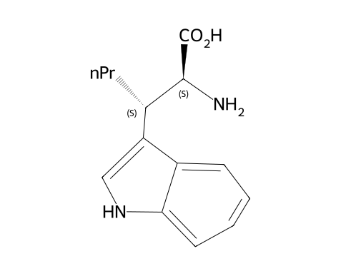 CCC[C@@H](c1c[nH]c2ccccc12)[C@H](N)C(=O)O